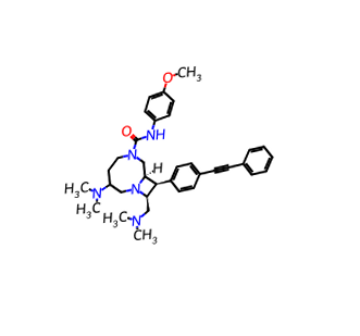 COc1ccc(NC(=O)N2CCC(N(C)C)CN3[C@H](CN(C)C)[C@H](c4ccc(C#Cc5ccccc5)cc4)[C@@H]3C2)cc1